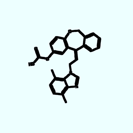 Cc1ccc(C)c2c1ncn2CC=C1c2ccccc2COc2ccc(OC(=O)O)cc21